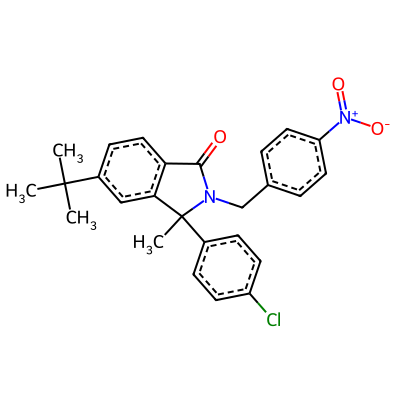 CC(C)(C)c1ccc2c(c1)C(C)(c1ccc(Cl)cc1)N(Cc1ccc([N+](=O)[O-])cc1)C2=O